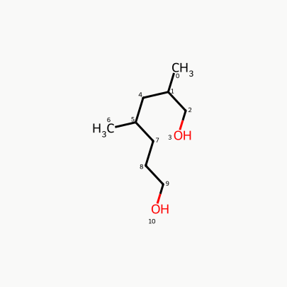 CC(CO)CC(C)CCCO